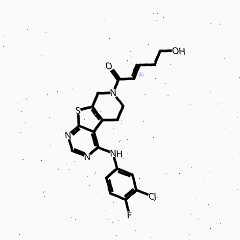 O=C(/C=C/CCO)N1CCc2c(sc3ncnc(Nc4ccc(F)c(Cl)c4)c23)C1